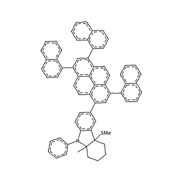 CSC12CCCCC1(C)N(c1ccccc1)c1ccc(-c3cc(-c4cccc5ccccc45)c4ccc5c(-c6cccc7ccccc67)cc(-c6cccc7ccccc67)c6ccc3c4c65)cc12